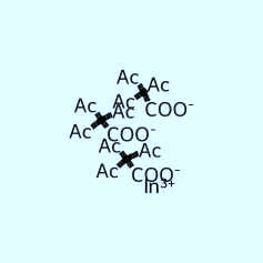 CC(=O)C(C(C)=O)(C(C)=O)C(=O)[O-].CC(=O)C(C(C)=O)(C(C)=O)C(=O)[O-].CC(=O)C(C(C)=O)(C(C)=O)C(=O)[O-].[In+3]